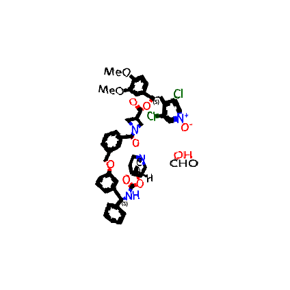 COc1ccc([C@H](Cc2c(Cl)c[n+]([O-])cc2Cl)OC(=O)C2CN(C(=O)c3cccc(COc4cccc([C@@H](NC(=O)O[C@H]5CN6CCC5CC6)c5ccccc5)c4)c3)C2)cc1OC.O=CO